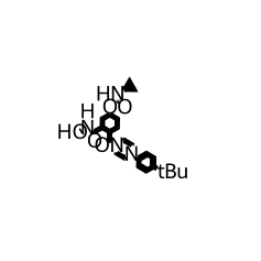 CC(C)(C)c1ccc(N2CCN(C(=O)C3CCC(OC(=O)NC4CC4)CC3C(=O)NO)CC2)cc1